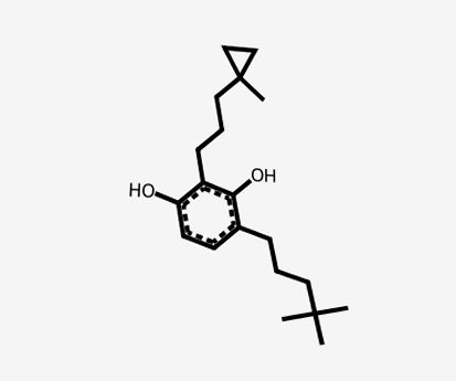 CC(C)(C)CCCc1ccc(O)c(CCCC2(C)CC2)c1O